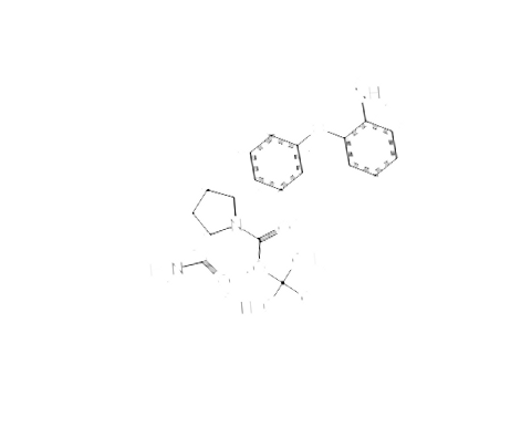 CC(C)(C)OC(=O)N1[C@@H](c2ccc(Oc3ccccc3N)cc2)CC[C@H]1C(N)=O